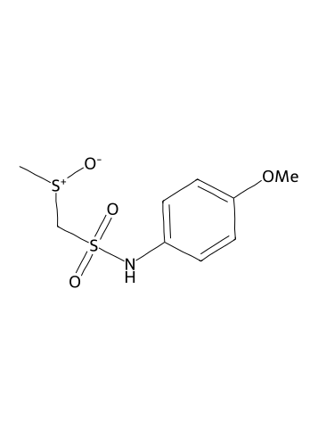 COc1ccc(NS(=O)(=O)C[S+](C)[O-])cc1